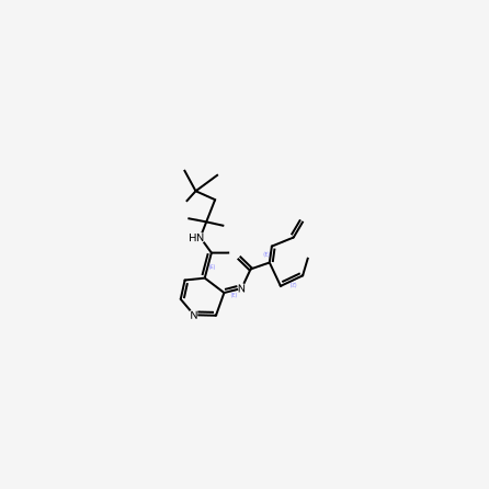 C=C/C=C(\C=C/C)C(=C)/N=C1/C=NC=C/C1=C(/C)NC(C)(C)CC(C)(C)C